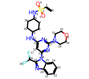 C=CS(=O)(=O)NC1CCC(Nc2cc(-n3c(C(F)F)nc4ccccc43)nc(N3CCOCC3)n2)CC1